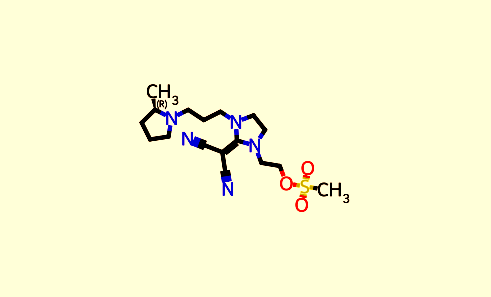 C[C@@H]1CCCN1CCCN1CCN(CCOS(C)(=O)=O)C1=C(C#N)C#N